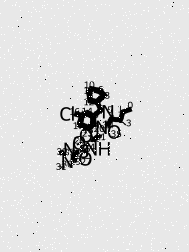 CC[C@H](C)[C@@H]1N=C(c2ccccc2)c2cc(Cl)ccc2N(CC(=O)NS(=O)(=O)c2cn(C)cn2)C1=O